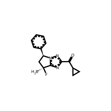 B[C@]1(F)C[C@@H](c2ccccc2)n2nc(C(=O)C3CC3)nc21